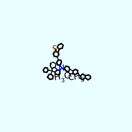 CC1(C)c2cc(-c3ccc4ccccc4c3)ccc2-c2ccc(N(c3ccc(-c4ccc5sc6ccccc6c5c4)cc3)c3cccc4c3C3=C(C=CCC3)C4(c3ccccc3)c3ccccc3)cc21